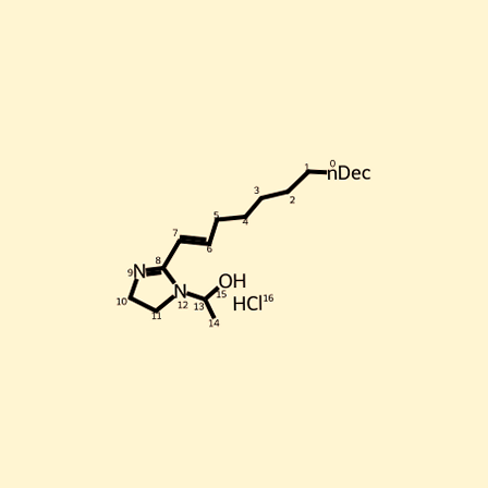 CCCCCCCCCCCCCCCC=CC1=NCCN1C(C)O.Cl